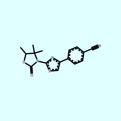 CC1OC(=O)N(c2nc(-c3ccc(C#N)cc3)cs2)C1(C)C